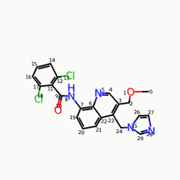 COCc1cnc2c(NC(=O)c3c(Cl)cccc3Cl)cccc2c1Cn1ccnc1